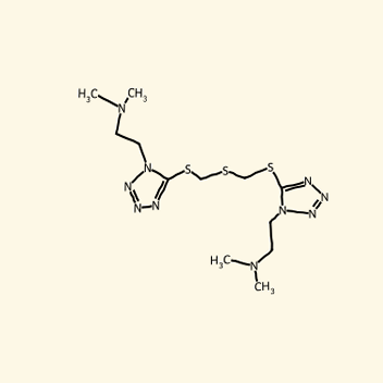 CN(C)CCn1nnnc1SCSCSc1nnnn1CCN(C)C